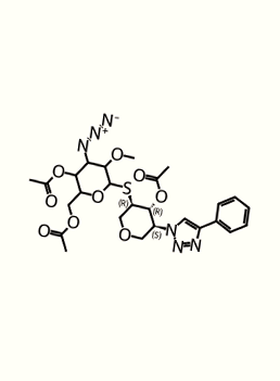 COC1C(S[C@@H]2COC[C@H](n3cc(-c4ccccc4)nn3)[C@H]2OC(C)=O)OC(COC(C)=O)C(OC(C)=O)C1N=[N+]=[N-]